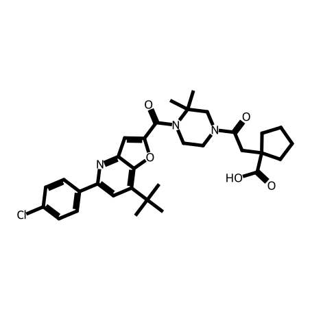 CC(C)(C)c1cc(-c2ccc(Cl)cc2)nc2cc(C(=O)N3CCN(C(=O)CC4(C(=O)O)CCCC4)CC3(C)C)oc12